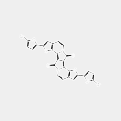 O=C1C2=C3c4sc(-c5ccc(Br)s5)cc4C=CN3C(=O)C2=C2c3sc(-c4ccc(Br)s4)cc3C=CN12